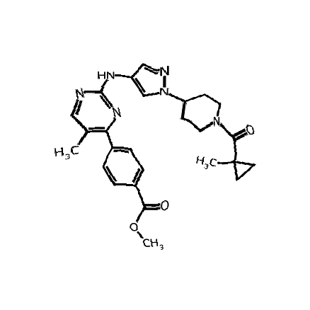 COC(=O)c1ccc(-c2nc(Nc3cnn(C4CCN(C(=O)C5(C)CC5)CC4)c3)ncc2C)cc1